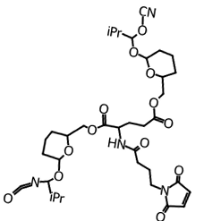 CC(C)C(N=C=O)OC1CCCC(COC(=O)C(CCC(=O)OCC2CCCC(OC(OC#N)C(C)C)O2)NC(=O)CCCN2C(=O)C=CC2=O)O1